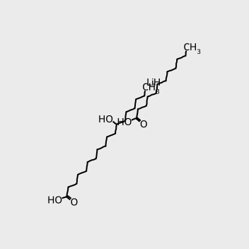 CCCCCCC(O)CCCCCCCCCCC(=O)O.CCCCCCCCCCCC(=O)O.[LiH]